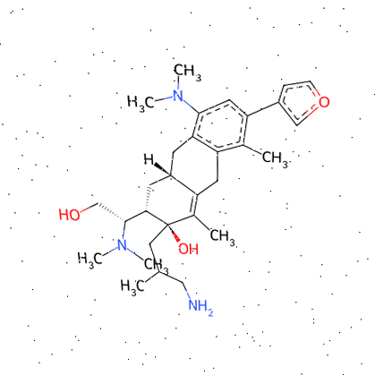 CC1=C2Cc3c(C)c(-c4ccoc4)cc(N(C)C)c3C[C@H]2C[C@@H]([C@@H](CO)N(C)C)[C@@]1(O)CC(C)CN